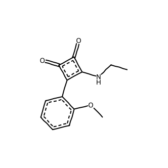 CCNc1c(-c2ccccc2OC)c(=O)c1=O